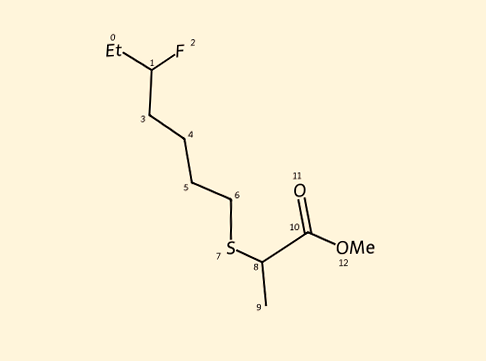 CCC(F)CCCCSC(C)C(=O)OC